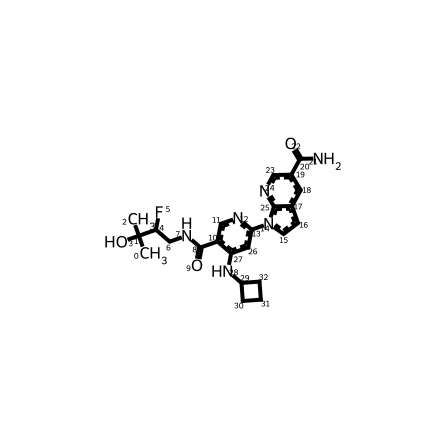 CC(C)(O)C(F)CNC(=O)c1cnc(-n2ccc3cc(C(N)=O)cnc32)cc1NC1CCC1